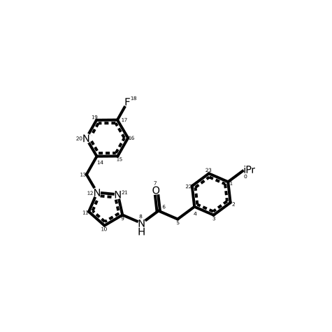 CC(C)c1ccc(CC(=O)Nc2ccn(Cc3ccc(F)cn3)n2)cc1